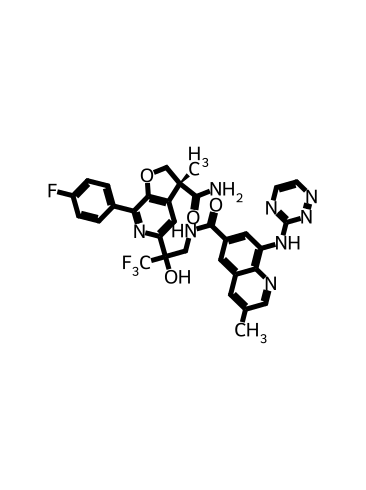 Cc1cnc2c(Nc3nccnn3)cc(C(=O)NCC(O)(c3cc4c(c(-c5ccc(F)cc5)n3)OC[C@]4(C)C(N)=O)C(F)(F)F)cc2c1